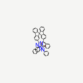 c1ccc(-c2nc(-c3ccccc3)nc(-c3ccc4c(c3)C3(c5ccccc5-c5ccc(-c6ccc7c(c6)c6ccccc6n7-c6ccccc6)cc53)c3ccccc3-4)n2)cc1